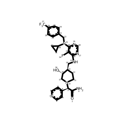 NC(=O)[C@@H](c1ccncc1)N1CC[C@H](CNc2ncnc(N(Cc3ccc(C(F)(F)F)cc3)C3CC3)c2F)[C@@H](O)C1